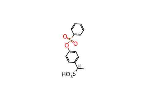 C[C@H](c1ccc(OS(=O)(=O)c2ccccc2)cc1)S(=O)(=O)O